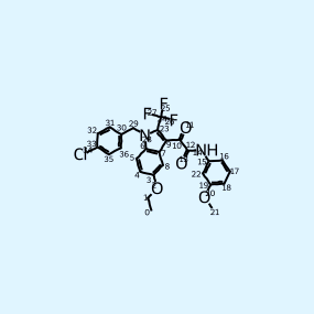 CCOc1ccc2c(c1)c(C(=O)C(=O)Nc1cccc(OC)c1)c(C(F)(F)F)n2Cc1ccc(Cl)cc1